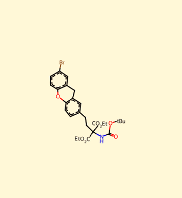 CCOC(=O)C(CCc1ccc2c(c1)Cc1cc(Br)ccc1O2)(NC(=O)OC(C)(C)C)C(=O)OCC